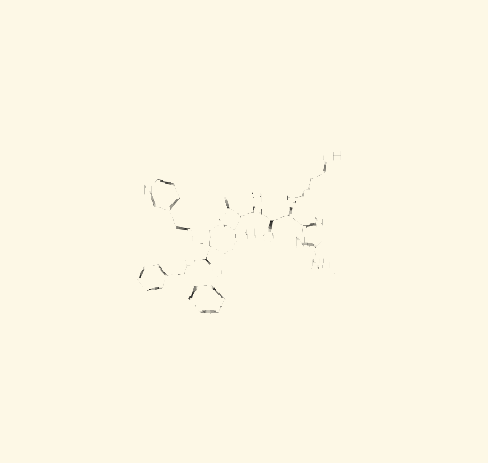 C=CCON=C(C(=O)NC1C(=O)N2CC(SC=Cc3cccnc3)(C(=O)OC(c3ccccc3)c3ccccc3)CS[C@H]12)c1nsc(N)n1